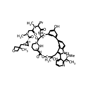 CCn1c(-c2cccnc2[C@H](C)OC)c2c3cc(ccc31)-c1cc(O)cc(c1)C[C@H](NC(=O)C(C(C)C)N(C)C(=O)CN(C)C(=O)[C@@H]1CN1CC1(C)COC1)C(=O)N1CCC[C@H](N1)C(=O)OCC(C)(C)C2